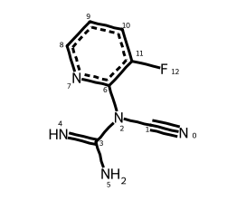 N#CN(C(=N)N)c1ncccc1F